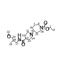 CCOC(=O)N1CCCC(N2CCC(C(=O)NCC(C)COC)CC2)CC1